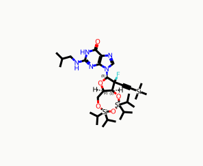 CC(C)CNc1nc2c(ncn2[C@@H]2O[C@@H]3CO[Si](C(C)C)(C(C)C)O[Si](C(C)C)(C(C)C)O[C@@H]3C2(F)C#C[Si](C)(C)C)c(=O)[nH]1